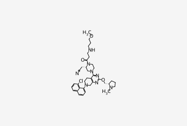 COCCCNCCC(=O)N1CCN(c2nc(OC[C@@H]3CCCN3C)nc3c2CCN(c2cccc4cccc(Cl)c24)C3)C[C@@H]1CC#N